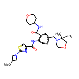 COC1CN(c2nc(C(=O)Nc3ccc(CN4CCOCC4(C)C)cc3C(=O)NC3CCOCC3)cs2)C1